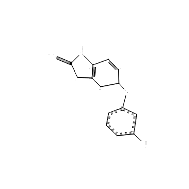 Nc1cccc(NC2C=CC3=C(CC(=O)N3)C2)c1